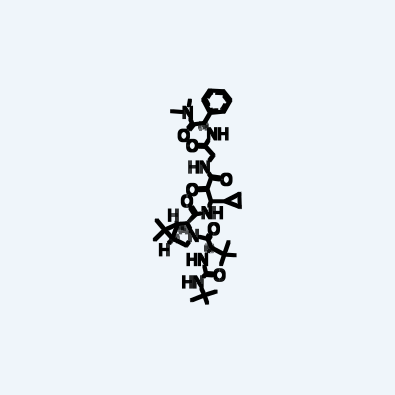 CN(C)C(=O)[C@@H](NC(=O)CNC(=O)C(=O)C(NC(=O)[C@@H]1[C@@H]2[C@H](CN1C(=O)[C@@H](NC(=O)NC(C)(C)C)C(C)(C)C)C2(C)C)C1CC1)c1ccccc1